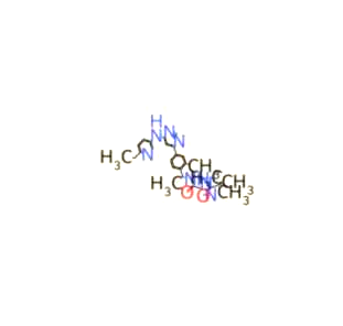 CCc1ccc(Nc2cc(-c3ccc([C@@H](C)NC(=O)c4nc(C(C)(C)C)no4)c(C)c3)ncn2)cn1